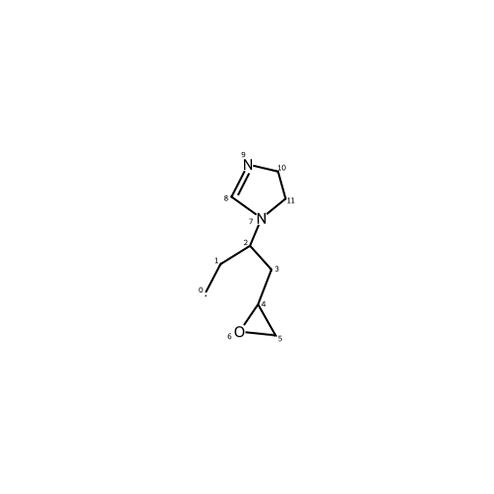 [CH2]CC(CC1CO1)N1C=NCC1